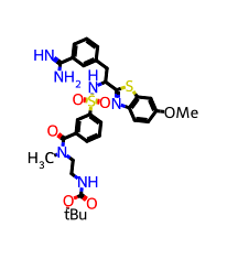 COc1ccc2nc(C(Cc3cccc(C(=N)N)c3)NS(=O)(=O)c3cccc(C(=O)N(C)CCNC(=O)OC(C)(C)C)c3)sc2c1